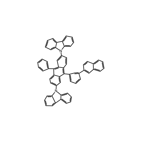 c1ccc(-c2c3ccc(-n4c5ccccc5c5ccccc54)cc3c(-c3cccc(-c4ccc5ccccc5c4)c3)c3ccc(-n4c5ccccc5c5ccccc54)cc23)cc1